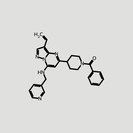 C=Cc1cnn2c(NCc3cccnc3)cc(C3CCN(C(=O)c4ccccc4)CC3)nc12